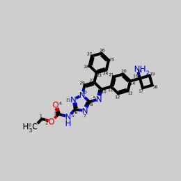 CCOC(=O)Nc1nc2nc(-c3ccc(C4(N)CCC4)cc3)c(-c3ccccc3)cn2n1